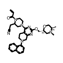 C=CC(=O)N1CCN(c2nc(OC[C@H]3CN(C)[C@H](C)CO3)nc3c2CCN(c2cccc4ccccc24)C3)CC1CC#N